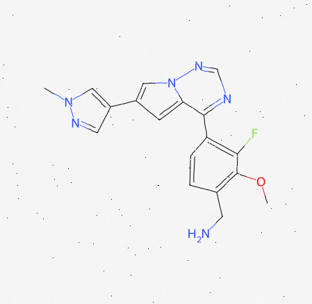 COc1c(CN)ccc(-c2ncnn3cc(-c4cnn(C)c4)cc23)c1F